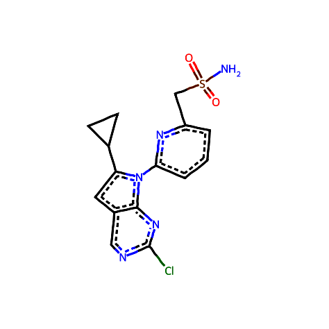 NS(=O)(=O)Cc1cccc(-n2c(C3CC3)cc3cnc(Cl)nc32)n1